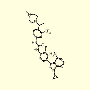 CC(c1ccc(NC(=O)Nc2ccc(-c3cn(C4CC4)c4ncnc(N)c34)cc2F)cc1C(F)(F)F)N1CCN(C)CC1